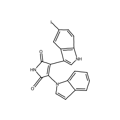 O=C1NC(=O)C(n2ccc3ccccc32)=C1c1c[nH]c2ccc(I)cc12